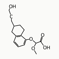 COC(Oc1cccc2c1CCC(CCCO)C2)C(=O)O